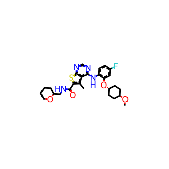 CO[C@H]1CC[C@H](Oc2cc(F)ccc2Nc2ncnc3sc(C(=O)NCC4CCCCO4)c(C)c23)CC1